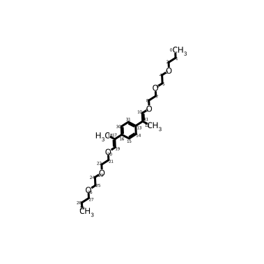 CCCOCCOCCOC=C(C)c1ccc(C(C)=COCCOCCOCCC)cc1